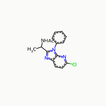 CC(=O)NC(C)c1nc2ccc(Cl)nc2n1-c1ccccc1